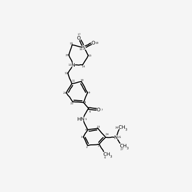 Cc1ccc(NC(=O)c2ccc(CN3CCS(=O)(=O)CC3)cc2)cc1N(C)C